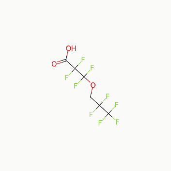 O=C(O)C(F)(F)C(F)(F)OCC(F)(F)C(F)(F)F